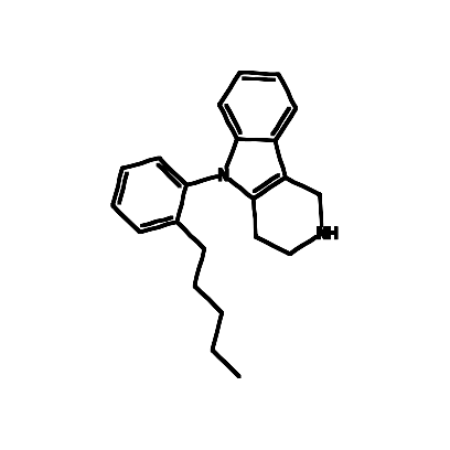 CCCCCc1ccccc1-n1c2c(c3ccccc31)CNCC2